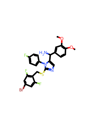 COc1ccc(C(N)c2cnc(SCc3c(F)cc(Br)cc3F)n2-c2ccc(F)cc2)cc1OC